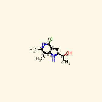 Cc1nc(Cl)c2cc(C(C)O)[nH]c2c1C